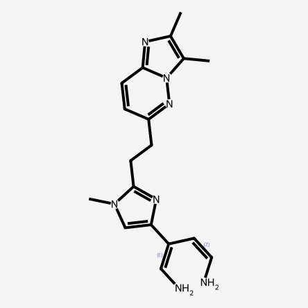 Cc1nc2ccc(CCc3nc(C(/C=C\N)=C/N)cn3C)nn2c1C